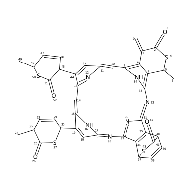 C=C1C(=O)SC(C)c2c1c1cc3nc(cc4[nH]c(cc4C4C=CC(C)C(=O)S4)nc4nc(nc2[nH]1)C1=C4C2C=CC1C(=O)S2)C(C1C=CC(C)SC1=O)=C3